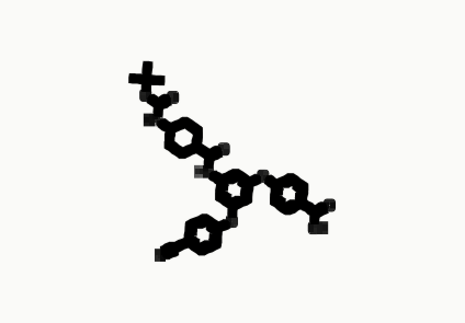 CC(C)(C)OC(=O)NC1CCC(C(=O)Nc2cc(Oc3ccc(C#N)cc3)cc(Oc3ccc(C(=O)O)cc3)c2)CC1